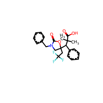 CC(C)(C(=O)O)C(c1ccccc1)C1(CC(F)(F)F)CN(Cc2ccccc2)C(=O)O1